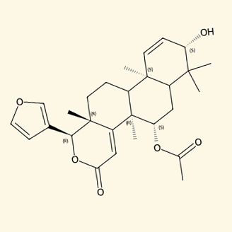 CC(=O)O[C@H]1CC2C(C)(C)[C@@H](O)C=C[C@]2(C)C2CC[C@]3(C)C(=CC(=O)O[C@H]3c3ccoc3)[C@@]21C